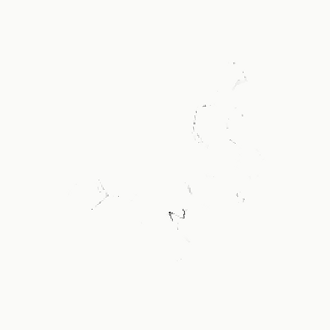 c1ccc(-c2ccc3c(c2)c2ccccc2n3-c2ccc3c(c2)sc2cccc(-c4cccc5c4sc4ccccc45)c23)cc1